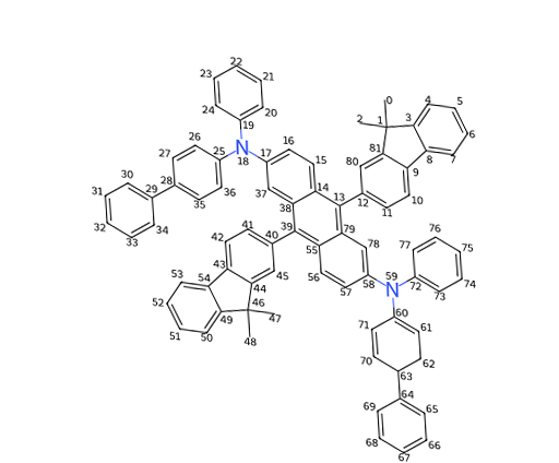 CC1(C)c2ccccc2-c2ccc(-c3c4ccc(N(c5ccccc5)c5ccc(-c6ccccc6)cc5)cc4c(-c4ccc5c(c4)C(C)(C)c4ccccc4-5)c4ccc(N(C5=CCC(c6ccccc6)C=C5)c5ccccc5)cc34)cc21